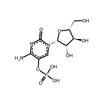 Nc1nc(=O)n([C@@H]2O[C@H](CO)[C@@H](O)[C@@H]2O)cc1OP(=O)(O)O